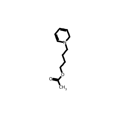 CC(=O)OCCCCN1C=CC=CC1